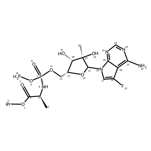 CC(C)OC(=O)[C@H](C)NP(=O)(OP)OC[C@H]1OC(n2cc(F)c3c(N)ncnc32)[C@](C)(O)[C@H]1O